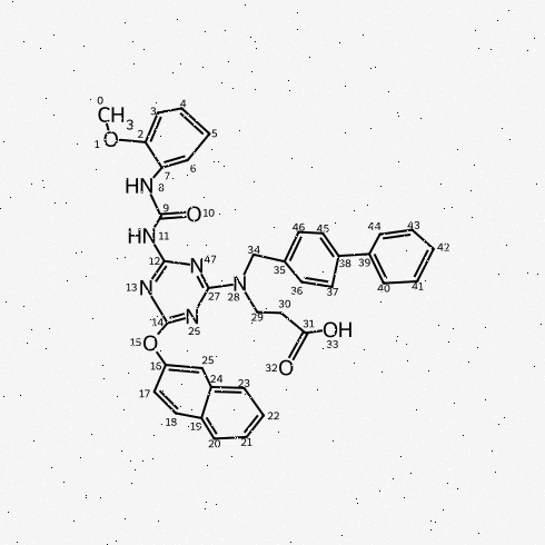 COc1ccccc1NC(=O)Nc1nc(Oc2ccc3ccccc3c2)nc(N(CCC(=O)O)Cc2ccc(-c3ccccc3)cc2)n1